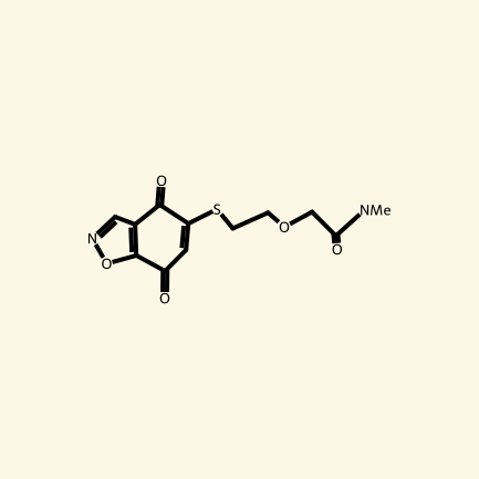 CNC(=O)COCCSC1=CC(=O)c2oncc2C1=O